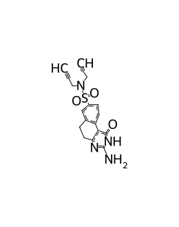 C#CCN(CC#C)S(=O)(=O)c1ccc2c(c1)CCc1nc(N)[nH]c(=O)c1-2